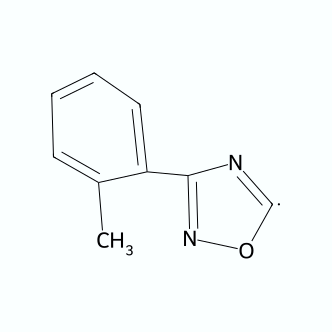 Cc1ccccc1-c1n[c]on1